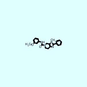 COc1cccc(NC(=O)N2CCc3nc(-c4ccccc4)n(C)c3C2)c1